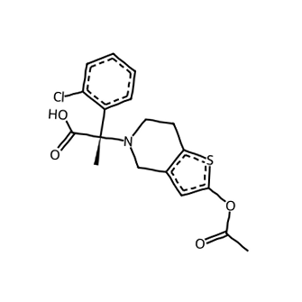 CC(=O)Oc1cc2c(s1)CCN([C@](C)(C(=O)O)c1ccccc1Cl)C2